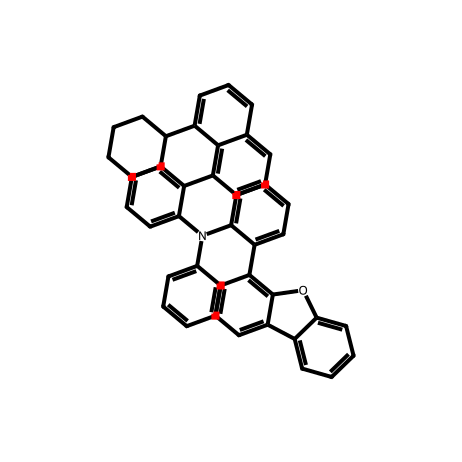 c1ccc(N(c2ccccc2-c2cccc3c2oc2ccccc23)c2ccccc2-c2cccc3cccc(C4CCCCC4)c23)cc1